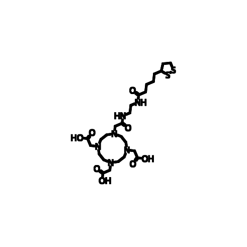 O=C(O)CN1CCN(CC(=O)O)CCN(CC(=O)NCCNC(=O)CCCCC2CCSS2)CCN(CC(=O)O)CC1